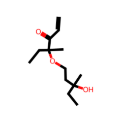 C=CC(=O)C(C)(CC)OCCC(C)(O)CC